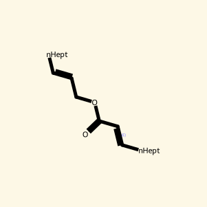 CCCCCCCC=CCOC(=O)/C=C/CCCCCCC